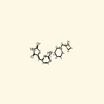 O=C1NC(=O)C(=Cc2ccnc(N[C@H]3CCCN(CC4CCN4)C3)n2)S1